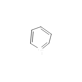 C1=C[CH]=[GeH][CH]=C1